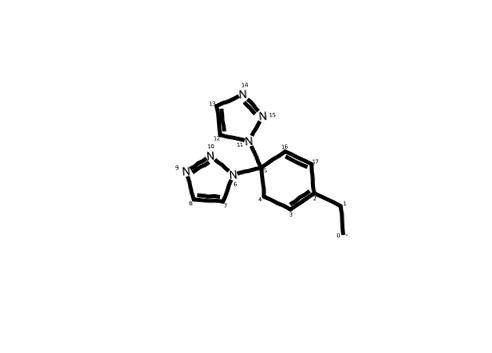 [CH2]CC1=CCC(n2ccnn2)(n2ccnn2)C=C1